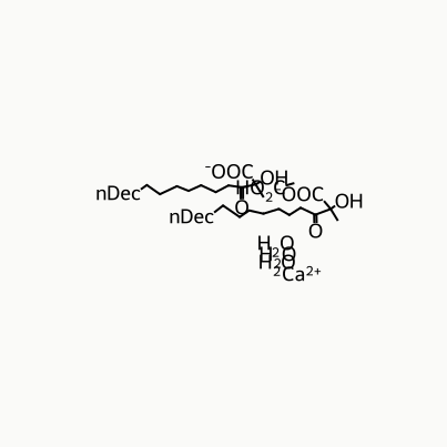 CC(=O)O.CCCCCCCCCCCCCCCCCC(=O)C(C)(O)C(=O)[O-].CCCCCCCCCCCCCCCCCC(=O)C(C)(O)C(=O)[O-].O.O.O.[Ca+2]